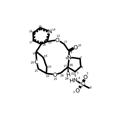 CS(=O)(=O)N[C@H]1CCN2C(=O)COc3ncccc3C3CCC(CC3)OC[C@@H]12